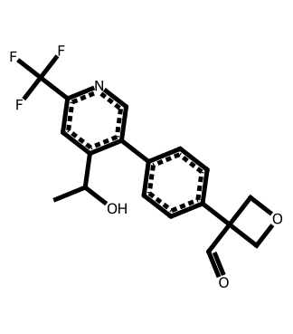 CC(O)c1cc(C(F)(F)F)ncc1-c1ccc(C2(C=O)COC2)cc1